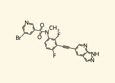 CN(c1ccc(F)c(C#Cc2cnc3[nH]ncc3c2)c1F)S(=O)(=O)c1cncc(Br)c1